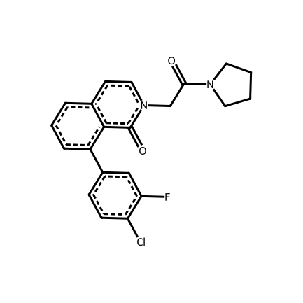 O=C(Cn1ccc2cccc(-c3ccc(Cl)c(F)c3)c2c1=O)N1CCCC1